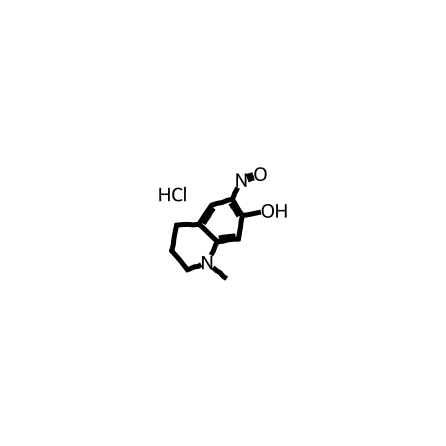 CN1CCCc2cc(N=O)c(O)cc21.Cl